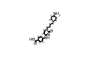 NC1CCN(CCCCn2ccc(Nc3ccc(C(=O)O)cc3)nc2=O)CC1